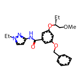 CC[C@@H](COC)Oc1cc(OCc2ccccc2)cc(C(=O)Nc2ccn(CC)n2)c1